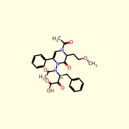 COCCC1C(=O)N(N(C(C)=O)[C@@H](Cc2ccccc2)C(=O)C(=O)O)C(c2ccccc2)=CN1C(C)=O